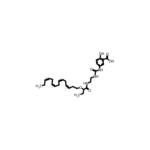 CC/C=C\C/C=C\C/C=C\C/C=C\CCOC(CC)C(=O)NCCNC(=O)Nc1ccc(O)c(C(=O)O)c1